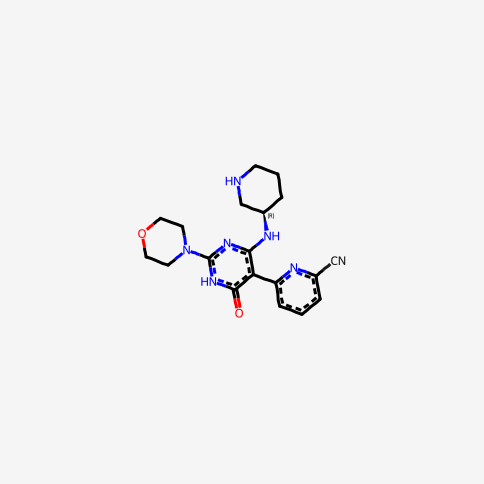 N#Cc1cccc(-c2c(N[C@@H]3CCCNC3)nc(N3CCOCC3)[nH]c2=O)n1